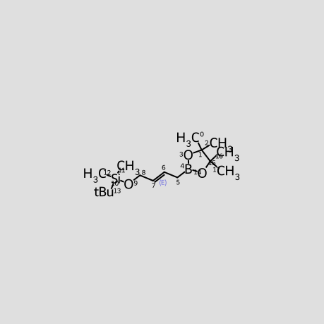 CC1(C)OB(C/C=C/CO[Si](C)(C)C(C)(C)C)OC1(C)C